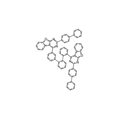 c1ccc(-c2ccc(-c3nc(-c4cccc(-c5ccccc5-c5ccccc5-c5nc(-c6ccc(-c7ccccc7)cc6)nc6oc7ccccc7c56)c4)c4c(n3)oc3ccccc34)cc2)cc1